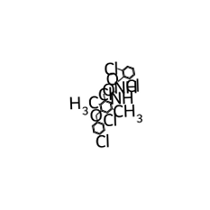 Cc1cc(Oc2ccc(Cl)cc2Cl)c(C)c(Cl)c1NC(=O)NC(=O)c1c(Cl)cccc1Cl